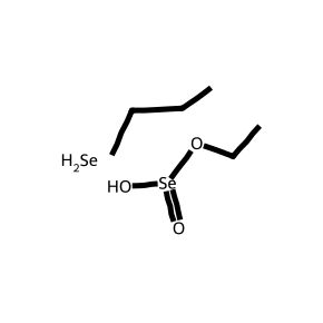 CCCC.CCO[Se](=O)O.[SeH2]